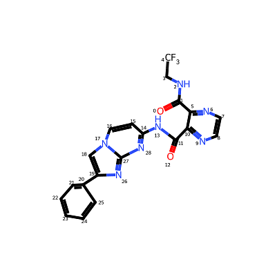 O=C(NCC(F)(F)F)c1nccnc1C(=O)Nc1ccn2cc(-c3ccccc3)nc2n1